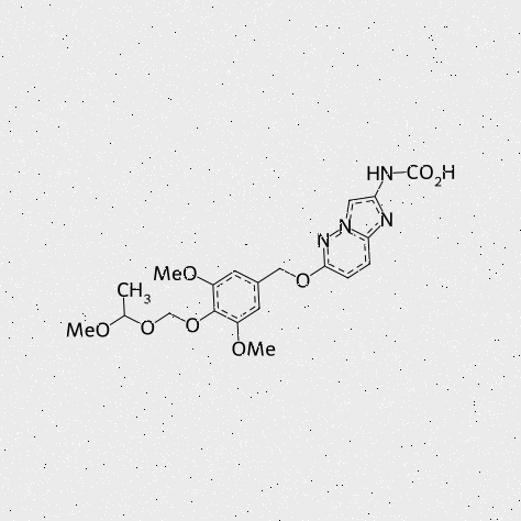 COc1cc(COc2ccc3nc(NC(=O)O)cn3n2)cc(OC)c1OCOC(C)OC